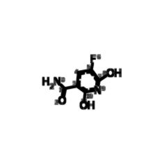 NC(=O)c1cc(F)c(O)nc1O